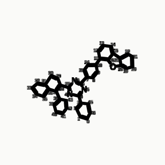 c1ccc(-c2nc(-c3ccc(-c4cccc5c4oc4ccccc45)cc3)nc(-c3ccc4ccccc4c3-c3ccccc3)n2)cc1